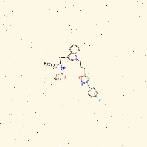 CCCCOC(=O)NC(Cc1cn(CCCc2cc(-c3ccc(F)cc3)no2)c2ccccc12)C(=O)OCC